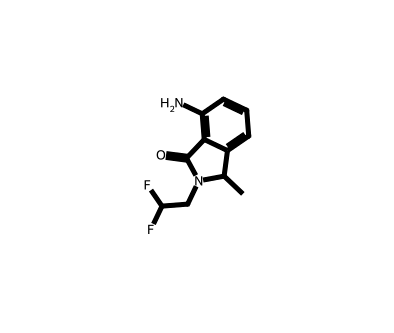 CC1c2cccc(N)c2C(=O)N1CC(F)F